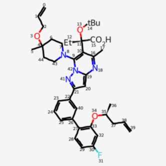 C=CCOC1(C)CCN(c2c([C@](CC)(OC(C)(C)C)C(=O)O)c(C)nc3cc(-c4cccc(-c5ccc(F)cc5O[C@@H](C)CC=C)c4)nn23)CC1